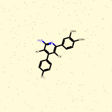 COc1ccc(-c2nc(N)c(C#N)c(-c3ccc(C(F)(F)F)cc3)c2C#N)cc1OC